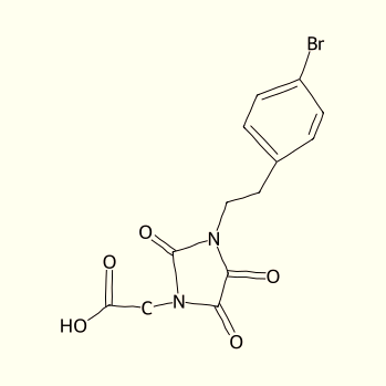 O=C(O)CN1C(=O)C(=O)N(CCc2ccc(Br)cc2)C1=O